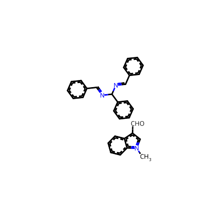 C(=NC(N=Cc1ccccc1)c1ccccc1)c1ccccc1.Cn1cc(C=O)c2ccccc21